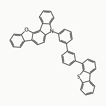 c1cc(-c2cccc(-n3c4ccccc4c4c5oc6ccccc6c5ccc43)c2)cc(-c2cccc3c2sc2ccccc23)c1